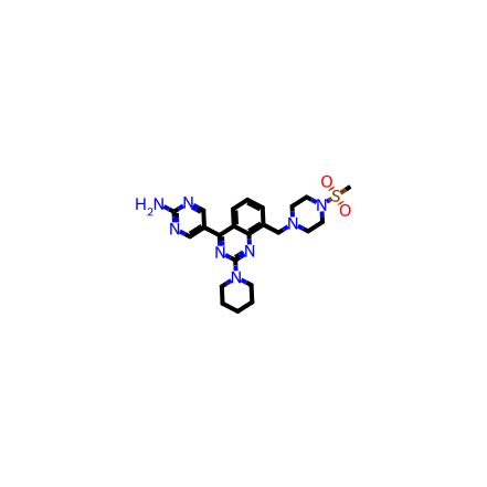 CS(=O)(=O)N1CCN(Cc2cccc3c(-c4cnc(N)nc4)nc(N4CCCCC4)nc23)CC1